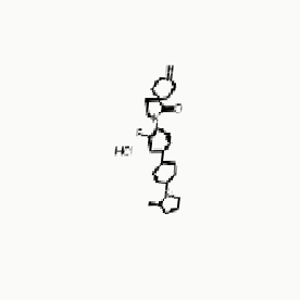 CC1CCCN1C1CCC(c2ccc(N3CCC4(CCNCC4)C3=O)c(F)c2)CC1.Cl